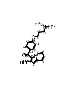 CCCc1cc2ccccn2c1C(=O)c1ccc(OCCCN(CCC)CCC)cc1